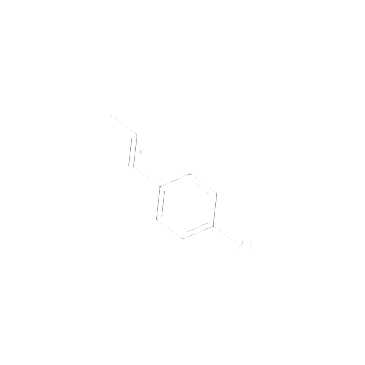 C/[C]=C/c1ccc(C(C)C)cc1